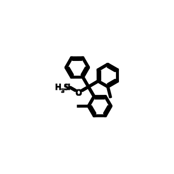 Cc1ccccc1C(O[SiH3])(c1ccccc1)c1ccccc1C